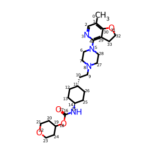 Cc1cnc(N2CCN(CC[C@H]3CC[C@H](NC(=O)OC4CCOCC4)CC3)CC2)c2c1OCC2